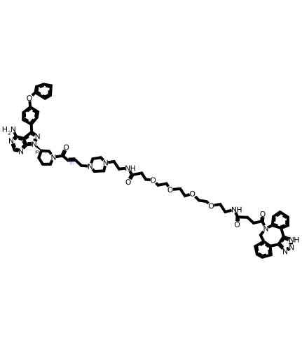 Nc1ncnc2c1c(-c1ccc(Oc3ccccc3)cc1)nn2[C@@H]1CCCN(C(=O)/C=C/CN2CCN(CCNC(=O)CCOCCOCCOCCOCCNC(=O)CCC(=O)N3Cc4ccccc4-c4nn[nH]c4-c4ccccc43)CC2)C1